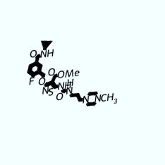 COC(=O)c1c(OCc2cc(C(=O)NC3CC3)ccc2F)nsc1NC(=O)NCCCN1CCN(C)CC1